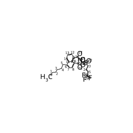 CCCCCCc1ccc2c3c(cccc13)C(=O)N(OS(=O)(=O)CCCC(F)(F)F)C2=O